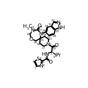 CC(C)[C@@H](NC(=O)c1nccs1)C(=O)N1CCC2(CC1)COCN(C)C(=O)N2c1ccc2[nH]ncc2c1